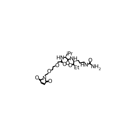 CCC(=O)[C@H](CCCNC(N)=O)NC(=O)[C@@H](NC(=O)COCCOCCN1C(=O)C=CC1=O)C(C)C